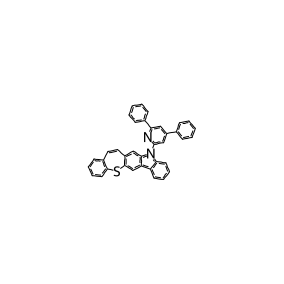 C1=Cc2cc3c(cc2Sc2ccccc21)c1ccccc1n3-c1cc(-c2ccccc2)cc(-c2ccccc2)n1